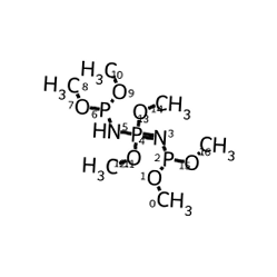 COP(N=P(NP(OC)OC)(OC)OC)OC